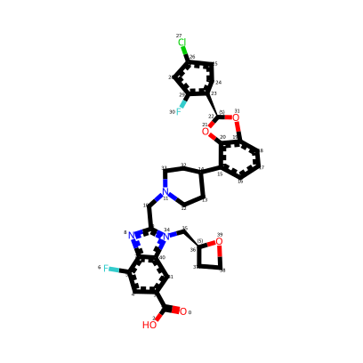 O=C(O)c1cc(F)c2nc(CN3CCC(c4cccc5c4O[C@@H](c4ccc(Cl)cc4F)O5)CC3)n(C[C@@H]3CCO3)c2c1